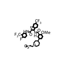 COc1ccc(C2CCCN(CC[S+]=O)CC2)cc1C(=O)Nc1c(C(=O)Nc2ccc(F)c(C(F)(F)F)c2)sc2cc(C(F)(F)F)ccc12